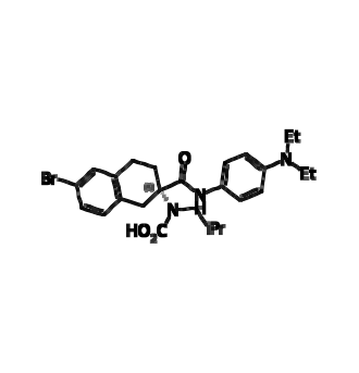 CCN(CC)c1ccc(NC(=O)[C@]2(N(CC(C)C)C(=O)O)CCc3cc(Br)ccc3C2)cc1